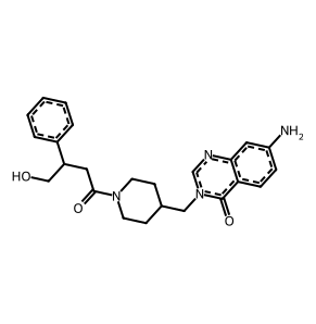 Nc1ccc2c(=O)n(CC3CCN(C(=O)CC(CO)c4ccccc4)CC3)cnc2c1